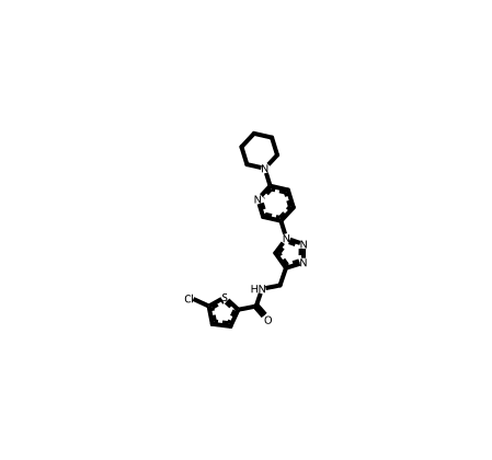 O=C(NCc1cn(-c2ccc(N3CCCCC3)nc2)nn1)c1ccc(Cl)s1